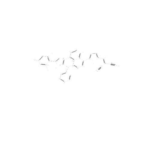 Cc1cc(C)c(-c2cc3c(o2)N(c2ccccc2)c2ccc(-c4ccc(C=C(C#N)C#N)s4)c4cccc-3c24)c(C)c1